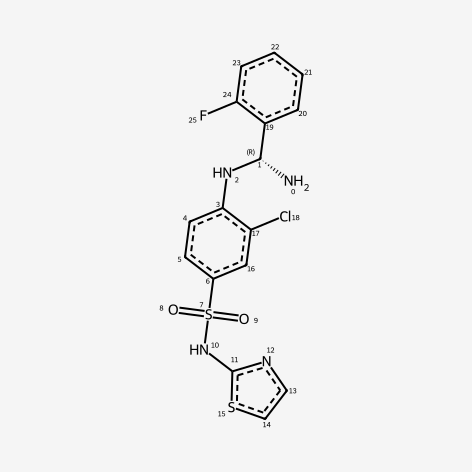 N[C@H](Nc1ccc(S(=O)(=O)Nc2nccs2)cc1Cl)c1ccccc1F